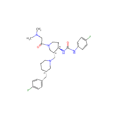 CN(C)CC(=O)N1CC[C@@H](NC(=O)Nc2ccc(F)cc2)[C@H](CN2CCC[C@@H](Cc3ccc(F)cc3)C2)C1